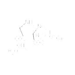 NCC(=O)[O-].NCC(=O)[O-].O.O.O.O.[Ca+2]